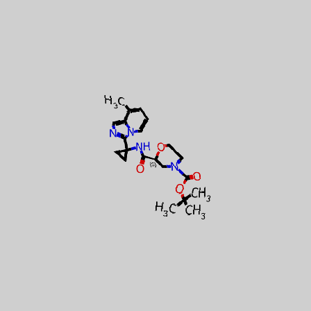 Cc1cccn2c(C3(NC(=O)[C@@H]4CN(C(=O)OC(C)(C)C)CCO4)CC3)ncc12